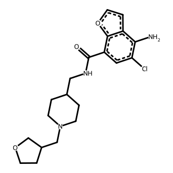 Nc1c(Cl)cc(C(=O)NCC2CCN(CC3CCOC3)CC2)c2occc12